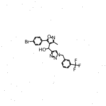 Cc1noc(-c2ccc(Br)cc2)c1C(O)c1cn(Cc2cccc(C(F)(F)F)c2)nn1